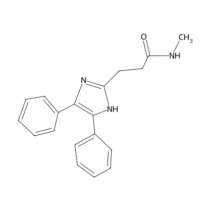 CNC(=O)CCc1nc(-c2ccccc2)c(-c2ccccc2)[nH]1